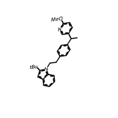 COc1ccc(C(C)c2ccc(CCn3c(C(C)(C)C)cc4ccccc43)cc2)cn1